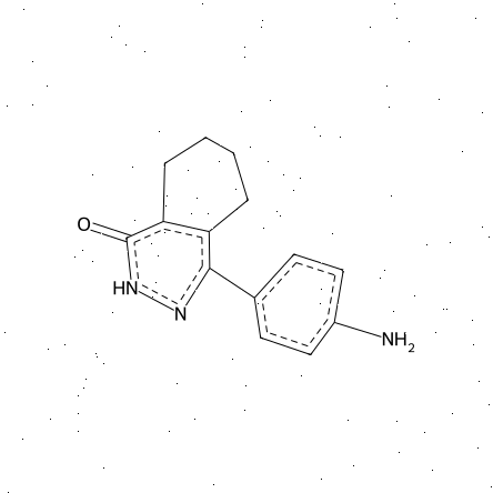 Nc1ccc(-c2n[nH]c(=O)c3c2CCCC3)cc1